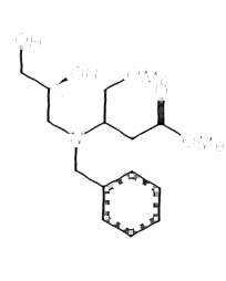 COCC(CC(=O)OC)N(Cc1ccccc1)C[C@H](O)CO